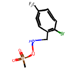 CS(=O)(=O)ONCc1cc(C(F)(F)F)ccc1Br